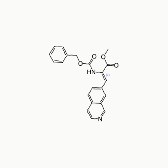 COC(=O)/C(=C/c1ccc2ccncc2c1)NC(=O)OCc1ccccc1